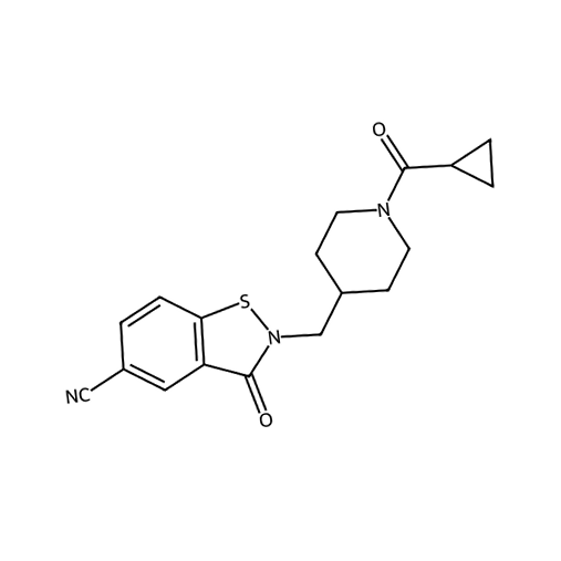 N#Cc1ccc2sn(CC3CCN(C(=O)C4CC4)CC3)c(=O)c2c1